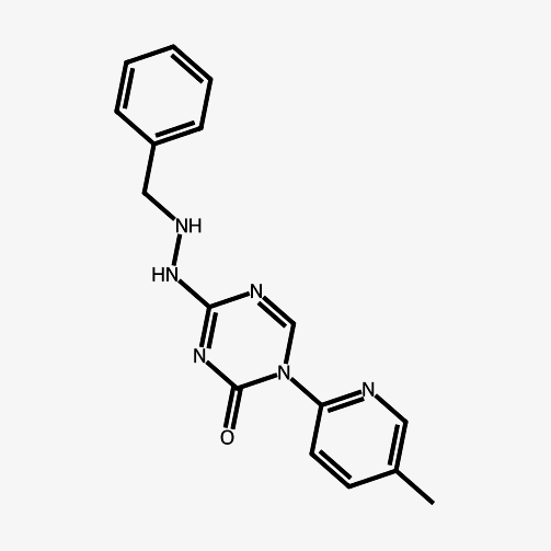 Cc1ccc(-n2cnc(NNCc3ccccc3)nc2=O)nc1